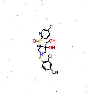 N#Cc1ccc(SN2C[C@H]([S+]([O-])c3ccc(Cl)cn3)C(O)(CO)C2)c(Cl)c1